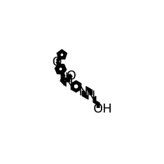 O=c1n(-c2ccc(OC3CCCC3)cc2)ccn1C1CCC(N2CCN(CCCO)CC2)CC1